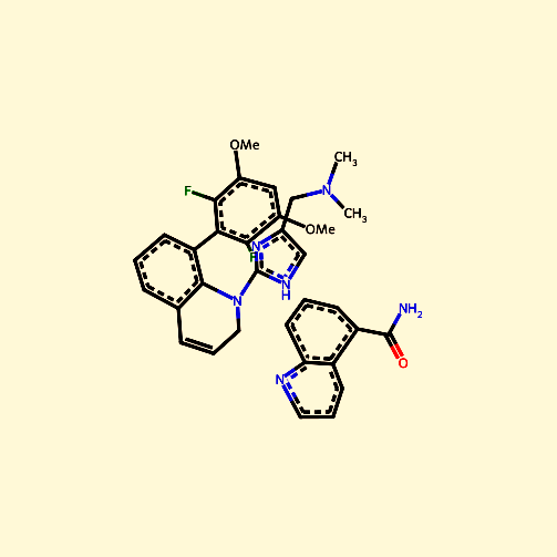 COc1cc(OC)c(F)c(-c2cccc3c2N(c2nc(CN(C)C)c[nH]2)CC=C3)c1F.NC(=O)c1cccc2ncccc12